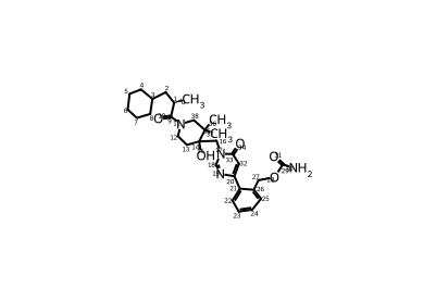 C[C@H](CC1CCCCC1)C(=O)N1CCC(O)(Cn2cnc(-c3ccccc3COC(N)=O)cc2=O)C(C)(C)C1